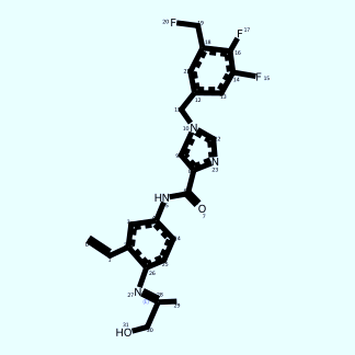 C=Cc1cc(NC(=O)c2cn(Cc3cc(F)c(F)c(CF)c3)cn2)ccc1/N=C(\C)CO